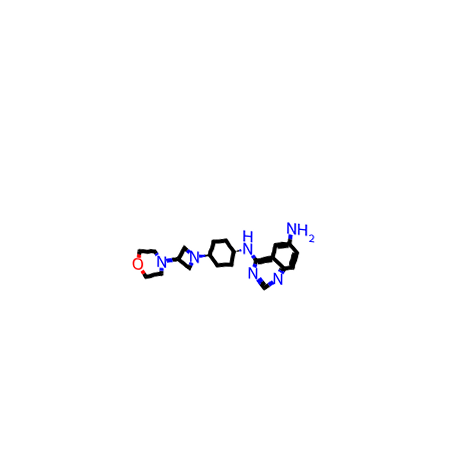 Nc1ccc2ncnc(N[C@H]3CC[C@H](N4CC(N5CCOCC5)C4)CC3)c2c1